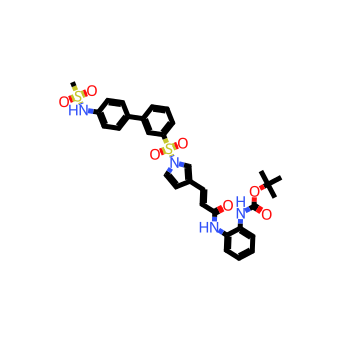 CC(C)(C)OC(=O)Nc1ccccc1NC(=O)C=Cc1ccn(S(=O)(=O)c2cccc(-c3ccc(NS(C)(=O)=O)cc3)c2)c1